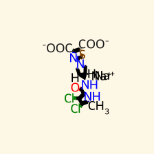 Cc1[nH]c(C(=O)N[C@@H]2[C@@H]3CN(c4nc(C(=O)[O-])c(C(=O)[O-])s4)C[C@@H]32)c(Cl)c1Cl.[Na+].[Na+]